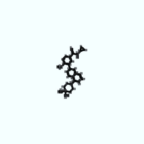 Cc1ccc(C(=O)NC2CC2)cc1-c1ccc2c(N3CCS(O)(O)CC3)nncc2c1